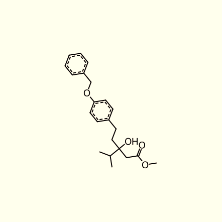 COC(=O)CC(O)(CCc1ccc(OCc2ccccc2)cc1)C(C)C